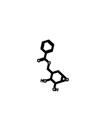 O=C(OCC1CC2OC2C(O)C1O)c1ccccc1